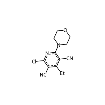 CCc1c(C#N)c(Cl)nc(N2CCOCC2)c1C#N